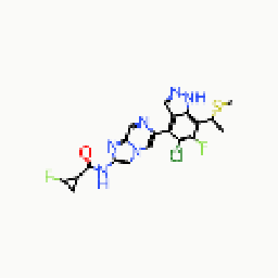 CSC(C)c1c(F)c(Cl)c(-c2cn3cc(NC(=O)C4CC4F)nc3cn2)c2cn[nH]c12